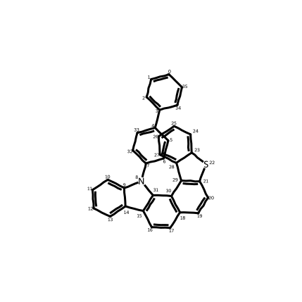 c1ccc(-c2ccc(-n3c4ccccc4c4ccc5ccc6sc7ccccc7c6c5c43)cc2)cc1